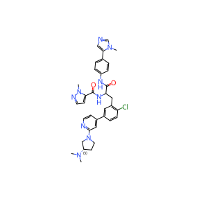 CN(C)[C@H]1CCN(c2cc(-c3ccc(Cl)c(CC(NC(=O)c4ccnn4C)C(=O)Nc4ccc(-c5cncn5C)cc4)c3)ccn2)C1